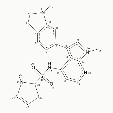 CN1CCc2ccc(-c3cn(C)c4nccc(NS(=O)(=O)C5CC=NN5C)c34)cc21